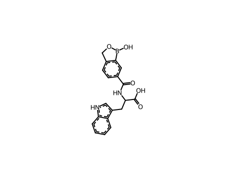 O=C(NC(Cc1c[nH]c2ccccc12)C(=O)O)c1ccc2c(c1)B(O)OC2